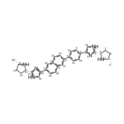 C[C@H]1CC[C@@H](c2nc(-c3ccc(-c4ccc5cc(-c6c[nH]c([C@@H]7CC[C@H](C)N7)n6)ccc5c4)cc3)c[nH]2)N1